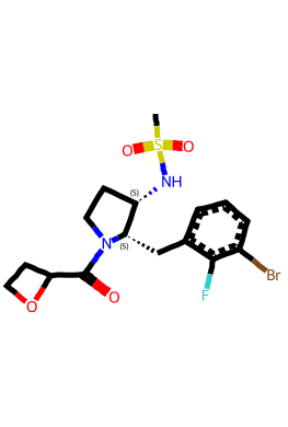 CS(=O)(=O)N[C@H]1CCN(C(=O)C2CCO2)[C@H]1Cc1cccc(Br)c1F